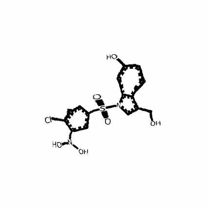 O=S(=O)(c1ccc(Cl)c(N(O)O)c1)n1cc(CO)c2ccc(O)cc21